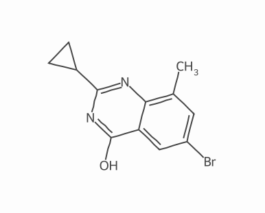 Cc1cc(Br)cc2c(O)nc(C3CC3)nc12